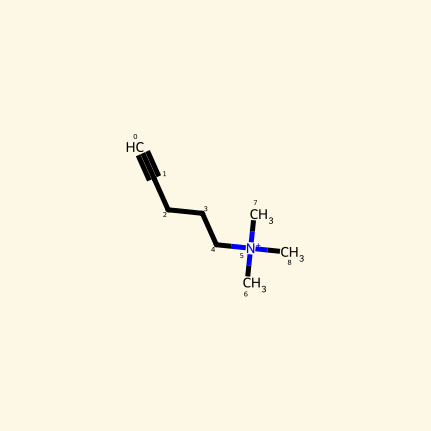 C#CCCC[N+](C)(C)C